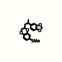 CSc1ccc2c(c1)OC(CC(C)c1ccc3c(c1)OCO3)CO2